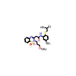 CCCCOCCCN1C(CC(=O)Nc2cc(C(C)(C)C)ccc2SCC(CC)CCCC)=Nc2ccccc2S1(=O)=O